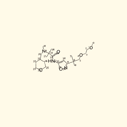 COCCOCC(C)(C)c1cc(NC(=O)C(C)(C)N(C)CC2CCOCC2)on1